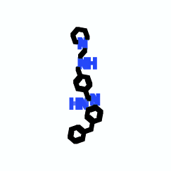 c1ccc(Cc2ccc3nc(-c4ccc(CNCCN5CCCCC5)cc4)[nH]c3c2)cc1